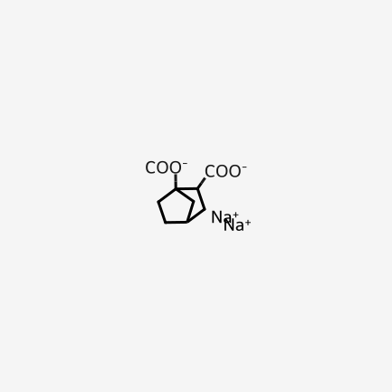 O=C([O-])C1CC2CCC1(C(=O)[O-])C2.[Na+].[Na+]